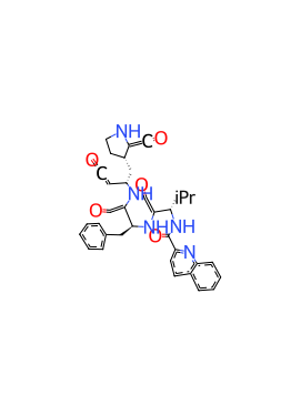 CC(C)[C@H](NC(=O)c1ccc2ccccc2n1)C(=C=O)N[C@@H](Cc1ccccc1)C(=C=O)N[C@H](C=C=O)C[C@@H]1CCNC1=C=O